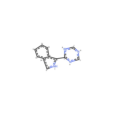 [c]1[nH]c(-c2ncncn2)c2ccccc12